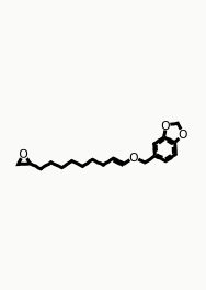 C(=COCc1ccc2c(c1)OCO2)CCCCCCCC1CO1